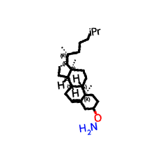 CC(C)CCC[C@@H](C)[C@H]1CC[C@H]2[C@@H]3CC=C4CC(ON)CC[C@]4(C)[C@H]3CC[C@]12C